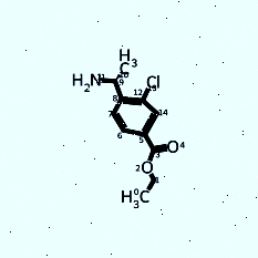 CCOC(=O)c1ccc([C@@H](C)N)c(Cl)c1